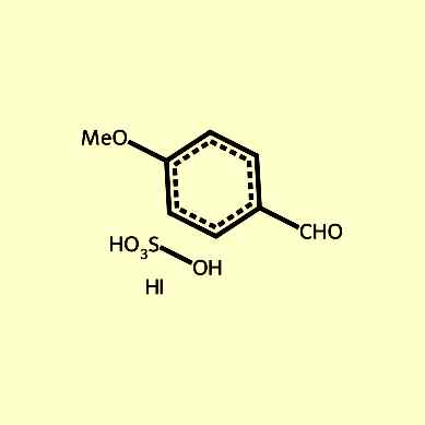 COc1ccc(C=O)cc1.I.O=S(=O)(O)O